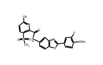 COc1ccc(-c2nc3cc(NC(=O)c4nc(C#N)ccc4S(C)(=O)=O)ccc3o2)cc1F